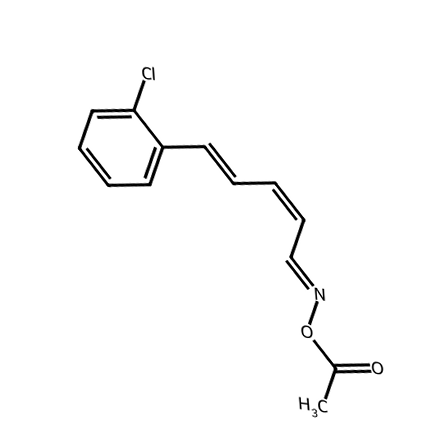 CC(=O)O/N=C/C=C\C=C\c1ccccc1Cl